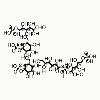 O=C[C@@H](OP(=O)(O)OC(=O)[C@@H](O)[C@@H](O)[C@H](O)[C@H](O)CO)[C@@H](O)[C@H](O)[C@H](O)COP(=O)(O)O.O=C[C@H](O)[C@@H](O)[C@H](O)[C@H](O)COP(=O)(O)O.O=P(O)(O)O[C@H]1O[C@H](CO)[C@@H](O)[C@H](O)[C@H]1O.O=P(O)(O)O[C@H]1O[C@H](CO)[C@H](O)[C@H](O)[C@H]1O